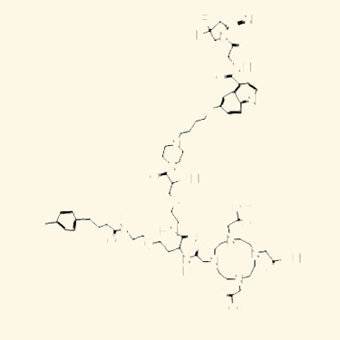 N#C[C@H]1CC(F)(F)CN1C(=O)CNC(=O)c1ccnc2ccc(OCCCCN3CCN(C(=O)C(O)CSCCNC(=O)C(CCOCCNC(=O)CCCc4ccc(I)cc4)NC(=O)CN4CCN(CC(=O)O)CCN(CC(=O)O)CCN(CC(=O)O)CC4)CC3)cc12